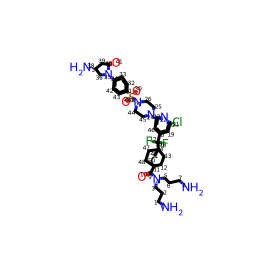 NCCCN(CCCN)C(=O)C12CCC(C(F)(F)c3cc(Cl)nc(N4CCN(S(=O)(=O)c5ccc(N6C[C@H](N)CC6=O)cc5)CC4)c3)(CC1)CC2